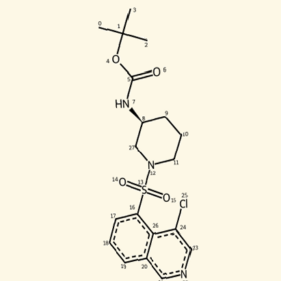 CC(C)(C)OC(=O)N[C@H]1CCCN(S(=O)(=O)c2cccc3cncc(Cl)c23)C1